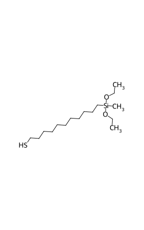 CCO[Si](C)(CCCCCCCCCCCS)OCC